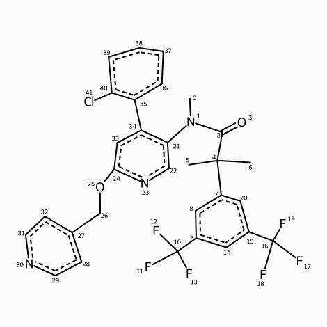 CN(C(=O)C(C)(C)c1cc(C(F)(F)F)cc(C(F)(F)F)c1)c1cnc(OCc2ccncc2)cc1-c1ccccc1Cl